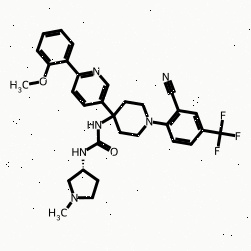 COc1ccccc1-c1ccc(C2(NC(=O)N[C@@H]3CCN(C)C3)CCN(c3ccc(C(F)(F)F)cc3C#N)CC2)cn1